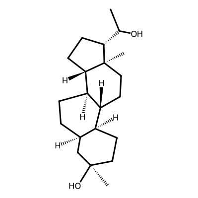 CC(O)[C@H]1CC[C@H]2[C@@H]3CC[C@@H]4C[C@](C)(O)CC[C@@H]4[C@H]3CC[C@]12C